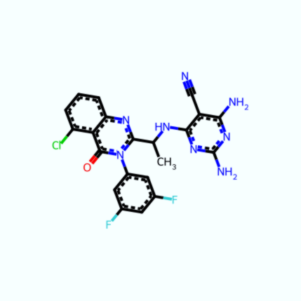 CC(Nc1nc(N)nc(N)c1C#N)c1nc2cccc(Cl)c2c(=O)n1-c1cc(F)cc(F)c1